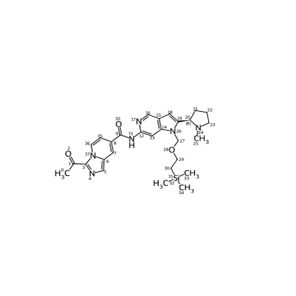 CC(=O)c1ncc2cc(C(=O)Nc3cc4c(cn3)cc([C@H]3CCCN3C)n4COCC[Si](C)(C)C)ccn12